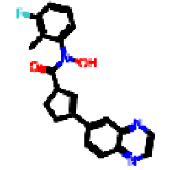 Cc1c(F)cccc1N(O)C(=O)C1C=C(c2ccc3nccnc3c2)CC1